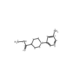 NNC(=O)C1CCN(c2cncc(N)c2)CC1